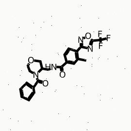 Cc1cc(C(=O)NCC2COCCN2C(=O)c2ccccc2)ccc1-c1noc(C(F)(F)F)n1